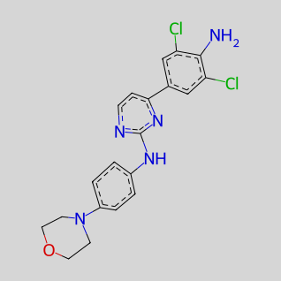 Nc1c(Cl)cc(-c2ccnc(Nc3ccc(N4CCOCC4)cc3)n2)cc1Cl